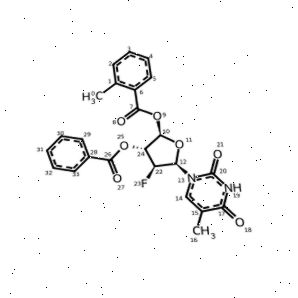 Cc1ccccc1C(=O)O[C@H]1O[C@@H](n2cc(C)c(=O)[nH]c2=O)[C@@H](F)[C@@H]1OC(=O)c1ccccc1